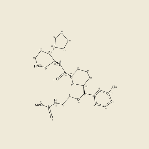 COC(=O)NCCOC(c1cccc(Cl)c1)[C@@H]1CCCN(C(=O)N[C@H]2CNCC[C@@H]2C2CCCC2)C1